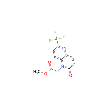 COC(=O)Cn1c(=O)ccc2nc(C(F)(F)F)ccc21